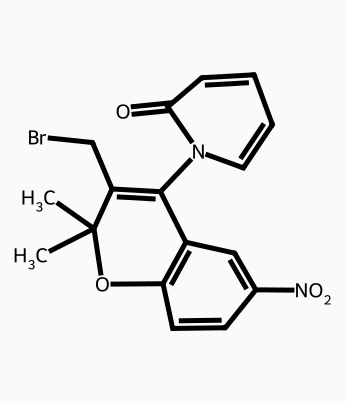 CC1(C)Oc2ccc([N+](=O)[O-])cc2C(n2ccccc2=O)=C1CBr